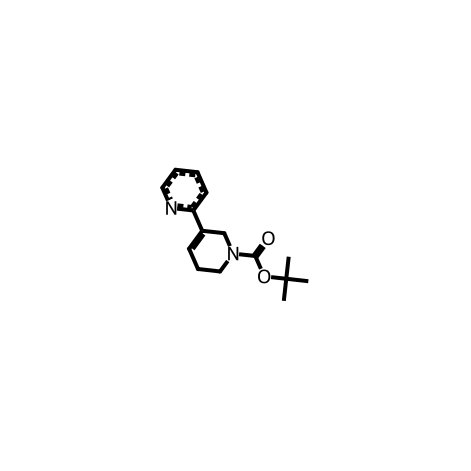 CC(C)(C)OC(=O)N1CCC=C(c2ccccn2)C1